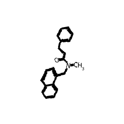 CN(Cc1cccc2ccccc12)C(=O)C=Cc1ccccc1